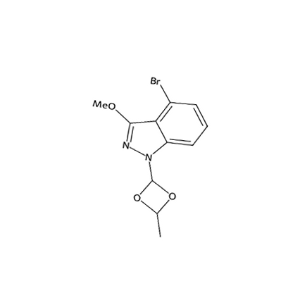 COc1nn(C2OC(C)O2)c2cccc(Br)c12